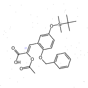 CC(=O)O/C(=C\c1cc(O[Si](C)(C)C(C)(C)C)ccc1OCc1ccccc1)C(=O)O